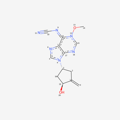 C=C1C[C@@H](n2cnc3/c(=N\C#N)n(OC)cnc32)C[C@@H]1O